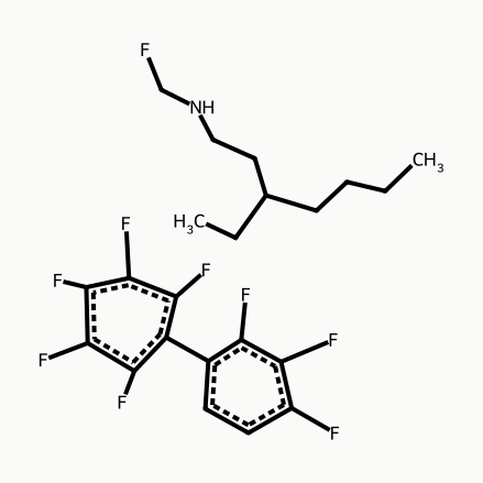 CCCCC(CC)CCNCF.Fc1ccc(-c2c(F)c(F)c(F)c(F)c2F)c(F)c1F